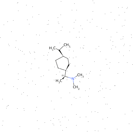 CC(C)[C@H]1CC[C@@H]([C@H](C)N(C)C)CC1